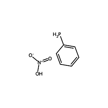 O=[N+]([O-])O.Pc1ccccc1